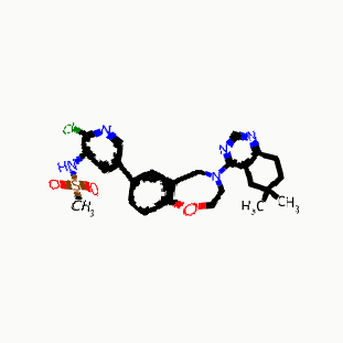 CC1(C)CCc2ncnc(N3CCOc4ccc(-c5cnc(Cl)c(NS(C)(=O)=O)c5)cc4C3)c2C1